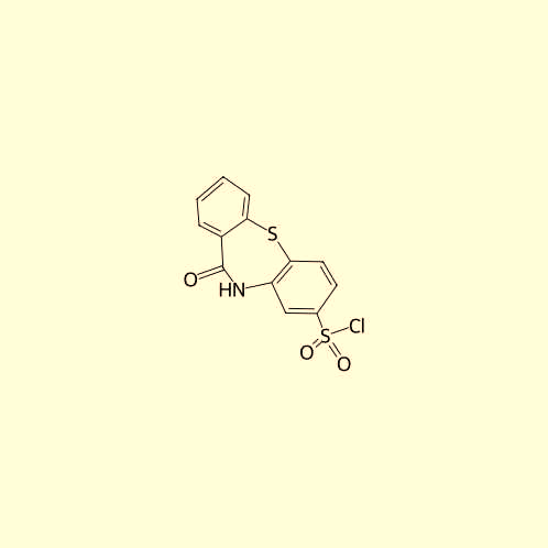 O=C1Nc2cc(S(=O)(=O)Cl)ccc2Sc2ccccc21